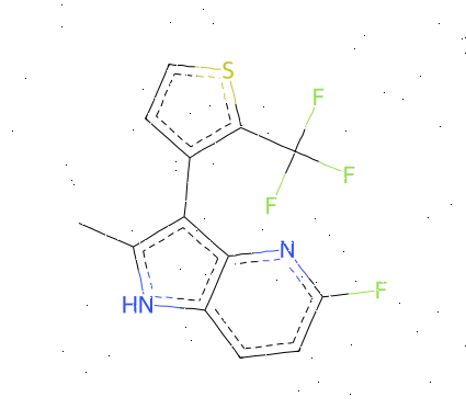 Cc1[nH]c2ccc(F)nc2c1-c1ccsc1C(F)(F)F